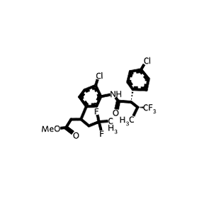 COC(=O)CC(CC(C)(F)F)c1ccc(Cl)c(NC(=O)[C@H](c2ccc(Cl)cc2)[C@@H](C)C(F)(F)F)c1